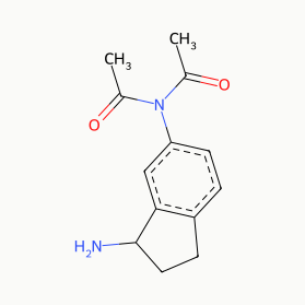 CC(=O)N(C(C)=O)c1ccc2c(c1)C(N)CC2